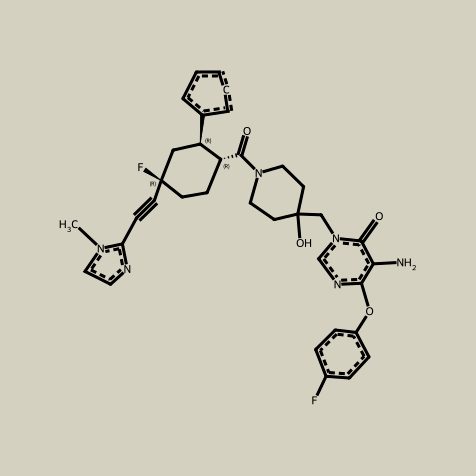 Cn1ccnc1C#C[C@@]1(F)CC[C@@H](C(=O)N2CCC(O)(Cn3cnc(Oc4ccc(F)cc4)c(N)c3=O)CC2)[C@H](c2ccccc2)C1